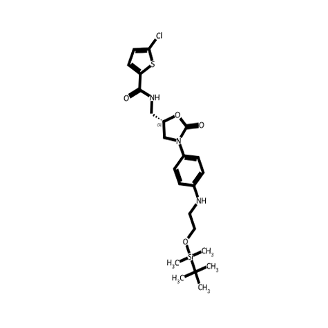 CC(C)(C)[Si](C)(C)OCCNc1ccc(N2C[C@H](CNC(=O)c3ccc(Cl)s3)OC2=O)cc1